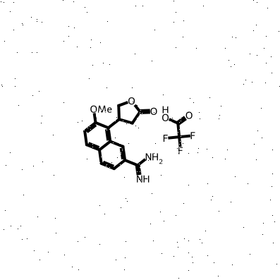 COc1ccc2ccc(C(=N)N)cc2c1C1COC(=O)C1.O=C(O)C(F)(F)F